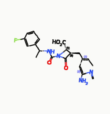 C=N/C(N)=C\C(=C/C)C[C@H]1C(=O)N(C(=O)NC(C)c2cccc(F)c2)[C@@H]1C(=O)O